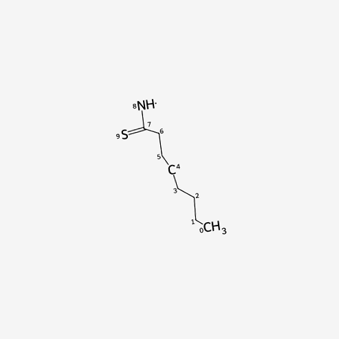 CCCCCCCC([NH])=S